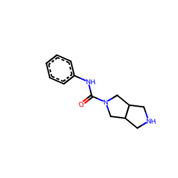 O=C(Nc1ccccc1)N1CC2CNCC2C1